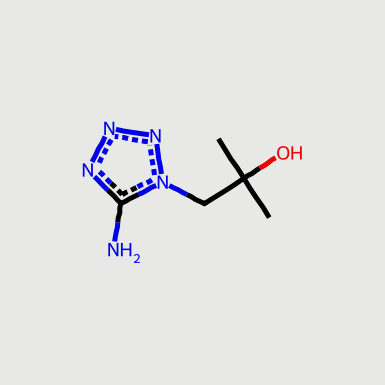 CC(C)(O)Cn1nnnc1N